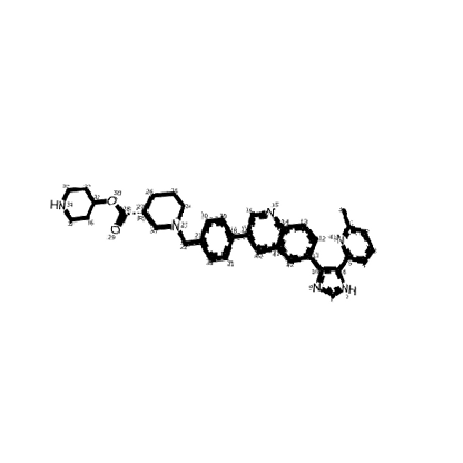 Cc1cccc(-c2[nH]cnc2-c2ccc3ncc(-c4ccc(CN5CCC[C@@H](C(=O)OC6CCNCC6)C5)cc4)cc3c2)n1